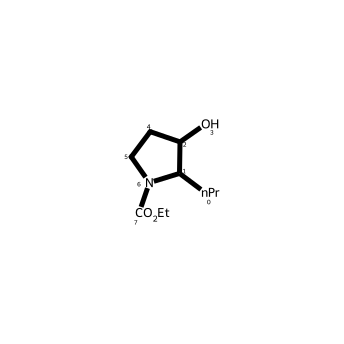 CCCC1C(O)CCN1C(=O)OCC